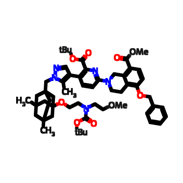 COCCN(CCOC12CC3(C)CC(C)(CC(Cn4ncc(-c5ccc(N6CCc7c(OCc8ccccc8)ccc(C(=O)OC)c7C6)nc5C(=O)OC(C)(C)C)c4C)(C3)C1)C2)C(=O)OC(C)(C)C